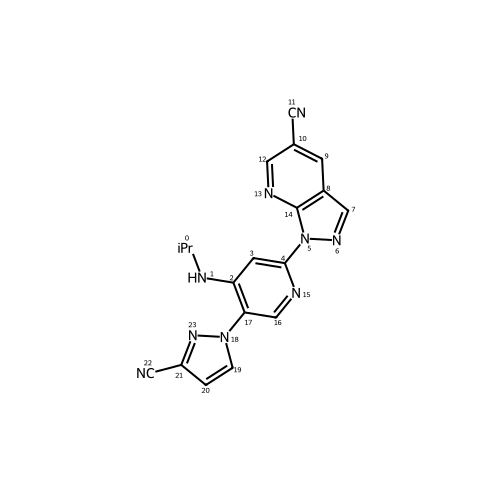 CC(C)Nc1cc(-n2ncc3cc(C#N)cnc32)ncc1-n1ccc(C#N)n1